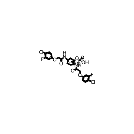 O=C(COc1ccc(Cl)c(F)c1)NC12CCC(NC(=O)COc3ccc(Cl)c(F)c3)(CC1)C(OP(=O)(O)O)C2